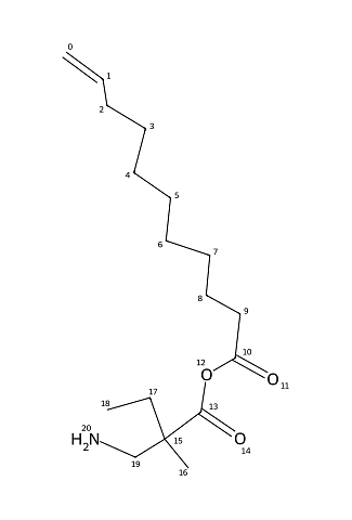 C=CCCCCCCCCC(=O)OC(=O)C(C)(CC)CN